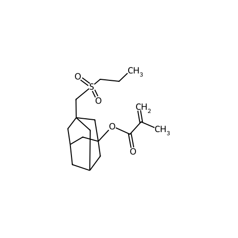 C=C(C)C(=O)OC12CC3CC(CC(CS(=O)(=O)CCC)(C3)C1)C2